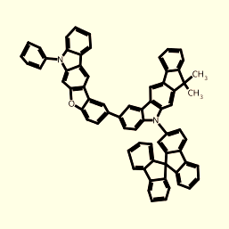 CC1(C)c2ccccc2-c2cc3c4cc(-c5ccc6oc7cc8c(cc7c6c5)c5ccccc5n8-c5ccccc5)ccc4n(-c4ccc5c(c4)C4(c6ccccc6-c6ccccc64)c4ccccc4-5)c3cc21